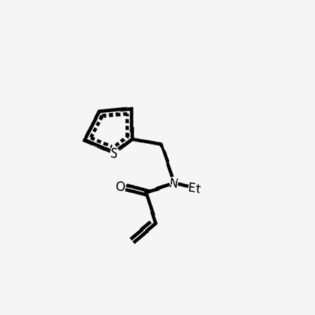 C=CC(=O)N(CC)Cc1cccs1